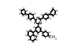 Cc1ccc(-c2cc(-c3nc(-c4ccc(-c5ccccc5)cc4)nc(-c4ccc(-c5ccccc5)cc4)n3)cc(-c3cccc4cccnc34)c2)cc1